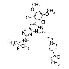 C=CC(=O)N1CCN(CCCc2cn3c(n2)c(-c2c(Cl)c(OC)cc(OC)c2Cl)cc2cnc(NCC(C)(C)F)nc23)CC1